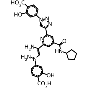 N/C(=C\N(N)c1ccc(C(=O)O)c(O)c1)c1cc(C(=O)NC2CCCC2)cc(-c2cn(-c3ccc(C(=O)O)c(O)c3)nn2)n1